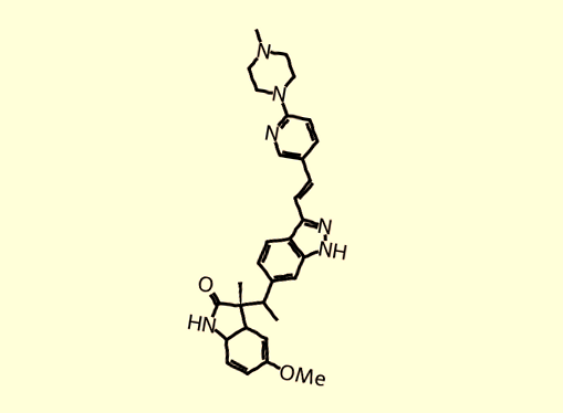 COC1=CC2C(C=C1)NC(=O)[C@]2(C)C(C)c1ccc2c(/C=C/c3ccc(N4CCN(C)CC4)nc3)n[nH]c2c1